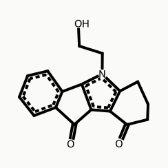 O=C1CCCc2c1c1c(n2CCO)-c2ccccc2C1=O